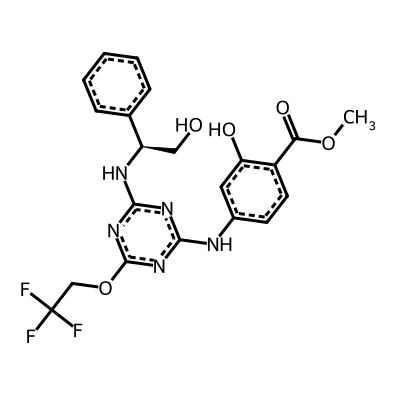 COC(=O)c1ccc(Nc2nc(N[C@H](CO)c3ccccc3)nc(OCC(F)(F)F)n2)cc1O